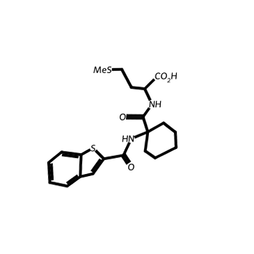 CSCCC(NC(=O)C1(NC(=O)c2cc3ccccc3s2)CCCCC1)C(=O)O